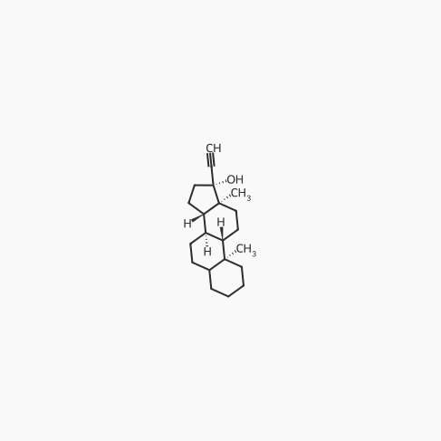 C#C[C@]1(O)CC[C@H]2[C@@H]3CCC4CCCC[C@]4(C)[C@H]3CC[C@@]21C